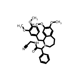 COc1ccc(CC2c3cc(OC)c(OC)cc3CCCN2C(C(=O)NCC#N)c2ccccc2)cc1OC